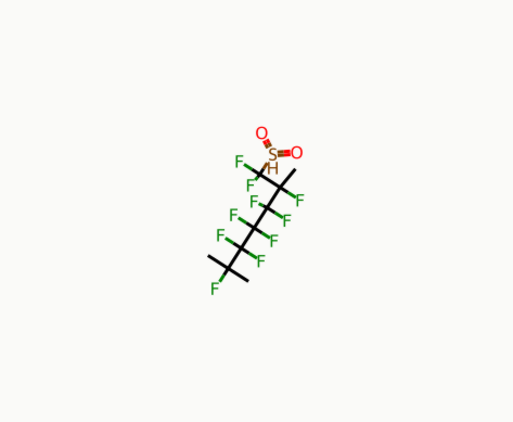 CC(C)(F)C(F)(F)C(F)(F)C(F)(F)C(C)(F)C(F)(F)[SH](=O)=O